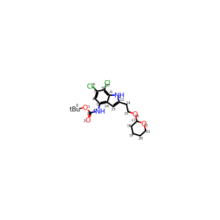 CC(C)(C)OC(=O)Nc1cc(Cl)c(Cl)c2[nH]c(CCOC3CCCCO3)cc12